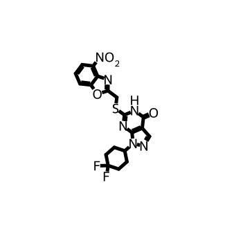 O=c1[nH]c(SCc2nc3c([N+](=O)[O-])cccc3o2)nc2c1cnn2C1CCC(F)(F)CC1